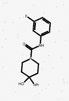 CCCC1(O)CCN(C(=O)Nc2cccc(F)c2)CC1